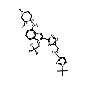 CN1CC[C@@H](Nc2cccc3c2cc(-c2noc(CNc4ccn(C(C)(C)C)n4)n2)n3CC(F)(F)F)[C@@H](F)C1